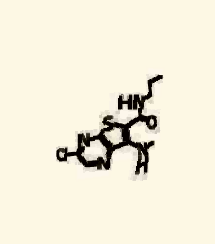 CCCNC(=O)c1sc2nc(Cl)cnc2c1NC